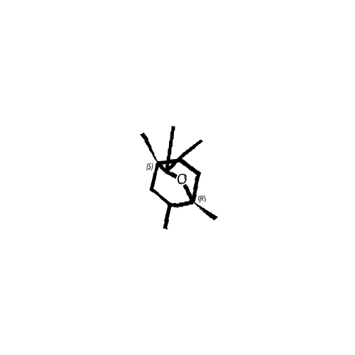 CC1C[C@]2(C)CC[C@@]1(C)OC2(C)C